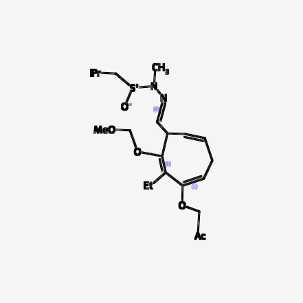 CCC1=C(\OCOC)C(/C=N/N(C)[S+]([O-])CC(C)C)C=CC/C=C\1OCC(C)=O